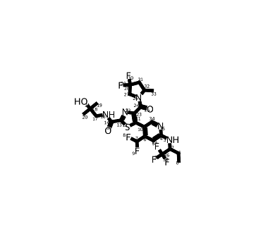 CCC(Nc1cc(C(F)F)c(-c2sc(C(=O)NCC(C)(C)O)nc2C(=O)N2CC(F)(F)CC2C)cn1)C(F)(F)F